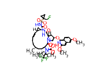 CC[C@@H]1C[C@@H](C)CCC=C[C@@H]2C[C@@]2(C(=O)NS(=O)(=O)C2(CF)CC2)NC(=O)[C@@H]2C[C@@H](Oc3nc(OC)cc4cc(OC)ccc34)CN2C(=O)[C@H]1N(C(=O)O)C(C)(C)C(F)(F)F